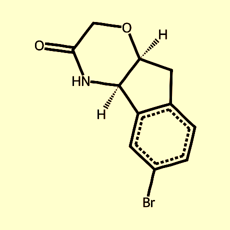 O=C1CO[C@H]2Cc3ccc(Br)cc3[C@H]2N1